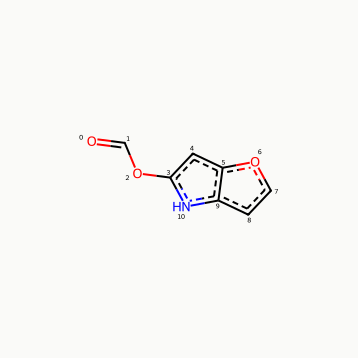 O=COc1cc2occc2[nH]1